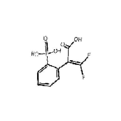 O=C(O)C(=C(F)F)c1ccccc1P(=O)(O)O